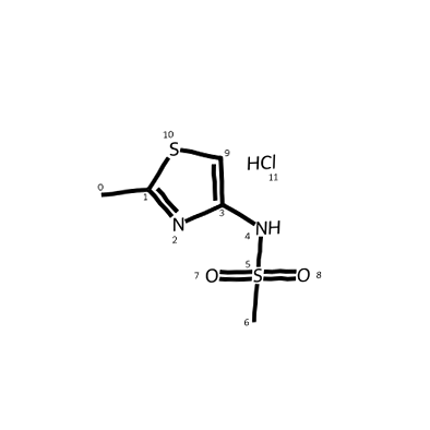 Cc1nc(NS(C)(=O)=O)cs1.Cl